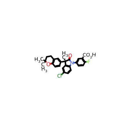 CC1(C)CCc2cc([C@]3(C)C(=O)N(c4ccc(F)c(C(=O)O)c4)c4ccc(Cl)cc43)ccc2O1